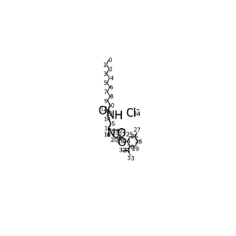 CCCCCCCCCCCC(=O)NCCC[N+](C)(C)CC(=O)OC1CC(C)CCC1C(C)C.[Cl-]